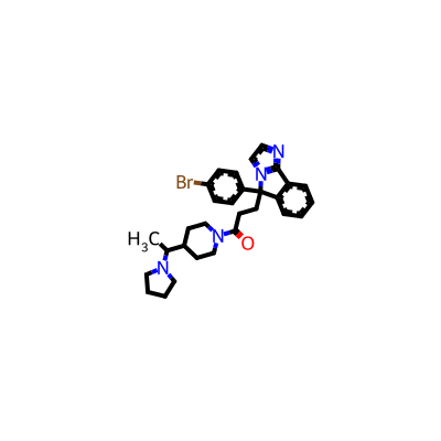 CC(C1CCN(C(=O)CCC2(c3ccc(Br)cc3)c3ccccc3-c3nccn32)CC1)N1CCCC1